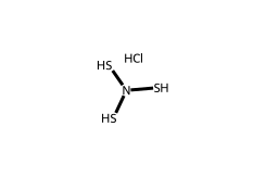 Cl.SN(S)S